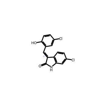 O=C1Nc2cc(Cl)ccc2/C1=C\c1cc(Cl)ccc1O